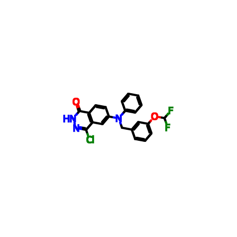 O=c1[nH]nc(Cl)c2cc(N(Cc3cccc(OC(F)F)c3)c3ccccc3)ccc12